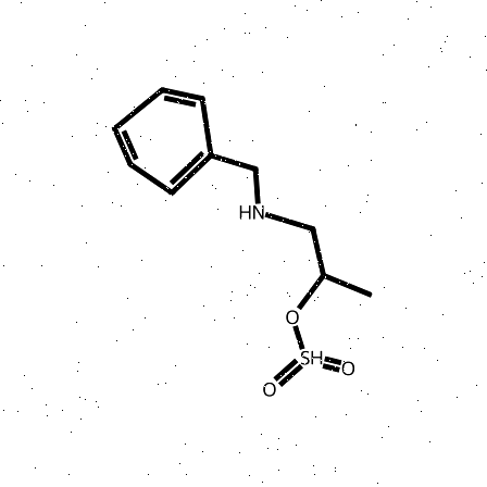 CC(CNCc1ccccc1)O[SH](=O)=O